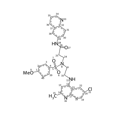 COc1ccc(S(=O)(=O)N(CCNc2cc(C)nc3ccc(Cl)cc23)CCC(=O)Nc2ccc3ncccc3c2)cc1